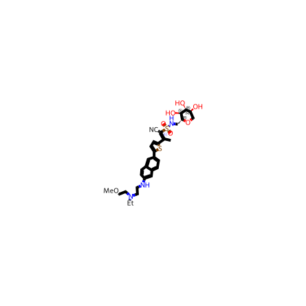 CCN(CCNc1ccc2cc(-c3ccc(/C(C)=C(\C#N)S(=O)(=O)NC[C@H]4OC[C@H](O)[C@@H](O)[C@@H]4O)s3)ccc2c1)CCOC